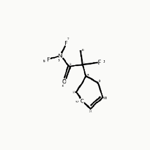 CC(F)(C(=O)N(F)F)C1CC=CCC1